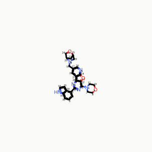 c1cc(-c2nc(N3CCOCC3)c3oc4ncc(CN5CC6CC5CO6)cc4c3n2)c2cc[nH]c2c1